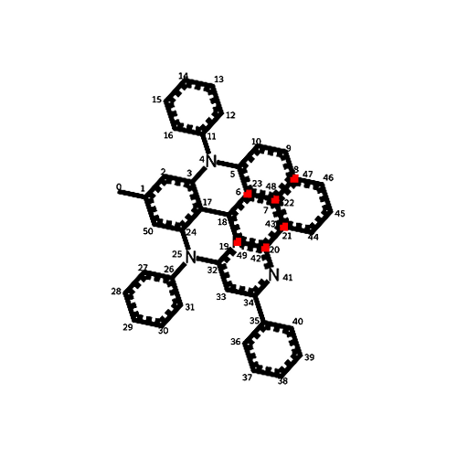 Cc1cc(N(c2ccccc2)c2ccccc2)c(-c2ccccc2)c(N(c2ccccc2)c2cc(-c3ccccc3)nc(-c3ccccc3)n2)c1